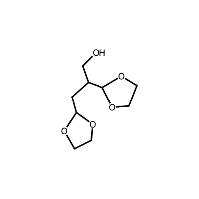 OCC(CC1OCCO1)C1OCCO1